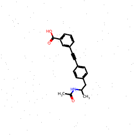 CC(=O)NC(C)Cc1ccc(C#Cc2cccc(C(=O)O)c2)cc1